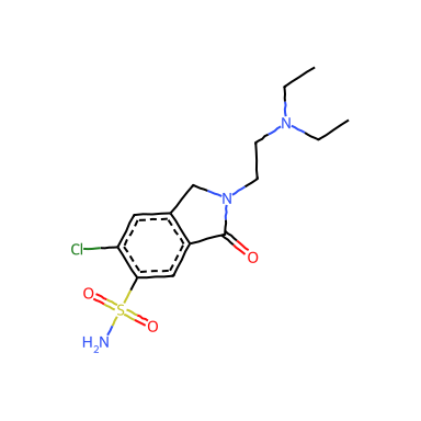 CCN(CC)CCN1Cc2cc(Cl)c(S(N)(=O)=O)cc2C1=O